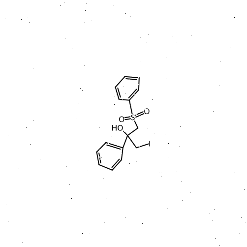 O=S(=O)(CC(O)(CI)c1ccccc1)c1ccccc1